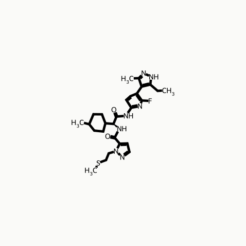 CCc1[nH]nc(C)c1-c1ccc(NC(=O)[C@@H](NC(=O)c2ccnn2CCSC)C2CCC(C)CC2)nc1F